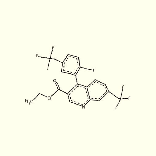 CCOC(=O)c1cnc2cc(C(F)(F)F)ccc2c1-c1cc(C(F)(F)F)ccc1F